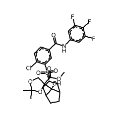 COC(=O)C1([C@]2(O)C3CCC2C[C@@H](S(=O)(=O)c2cc(C(=O)Nc4cc(F)c(F)c(F)c4)ccc2Cl)C3)COC(C)(C)O1